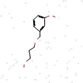 COCCCOCc1cccc(OC)c1